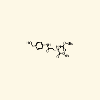 CC(C)(C)OC(=O)N[C@@H](CCC(=O)Nc1ccc(CO)cc1)C(=O)OC(C)(C)C